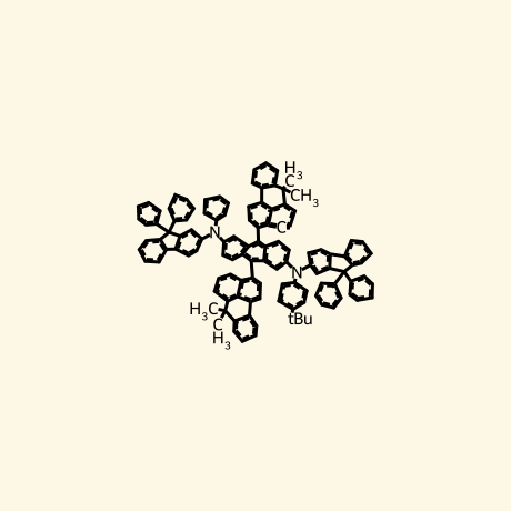 CC(C)(C)c1ccc(N(c2ccc3c(c2)C(c2ccccc2)(c2ccccc2)c2ccccc2-3)c2ccc3c(-c4ccc5c6c(cccc46)C(C)(C)c4ccccc4-5)c4cc(N(c5ccccc5)c5ccc6c(c5)C(c5ccccc5)(c5ccccc5)c5ccccc5-6)ccc4c(-c4ccc5c6c(cccc46)C(C)(C)c4ccccc4-5)c3c2)cc1